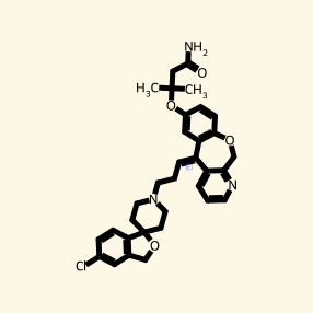 CC(C)(CC(N)=O)Oc1ccc2c(c1)/C(=C/CCN1CCC3(CC1)OCc1cc(Cl)ccc13)c1cccnc1CO2